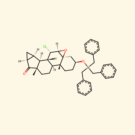 C[C@]12CC[C@H]3[C@@H]([C@H](Cl)[C@H]4O[C@]45C[C@@H](O[Si](Cc4ccccc4)(Cc4ccccc4)Cc4ccccc4)CC[C@]35C)[C@@H]1[C@@H]1C[C@@H]1C2=O